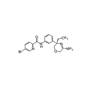 CC[C@]1(c2cccc(NC(=O)c3ccc(Br)cn3)c2)COCC(N)=N1